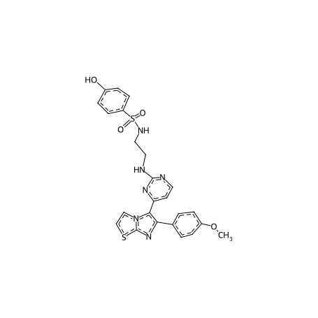 COc1ccc(-c2nc3sccn3c2-c2ccnc(NCCNS(=O)(=O)c3ccc(O)cc3)n2)cc1